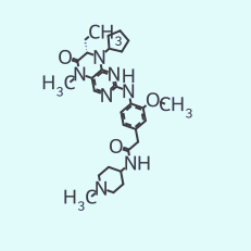 CC[C@H]1C(=O)N(C)c2cnc(Nc3ccc(CC(=O)NC4CCN(C)CC4)cc3OC)nc2N1C1CCCC1